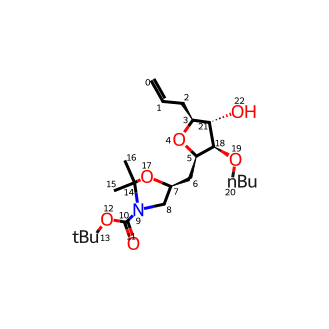 C=CC[C@@H]1O[C@H](C[C@H]2CN(C(=O)OC(C)(C)C)C(C)(C)O2)[C@H](OCCCC)[C@H]1O